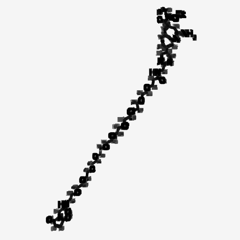 CCCN(OCC)C(=O)C1=Cc2ccc(-c3cnc(CNC(=O)CCOCCOCCOCCOCCOCCOCCOCCOCCOCCOCCNC(=O)CN4C(=O)C=CC4=O)nc3)cc2N=C(N)C1